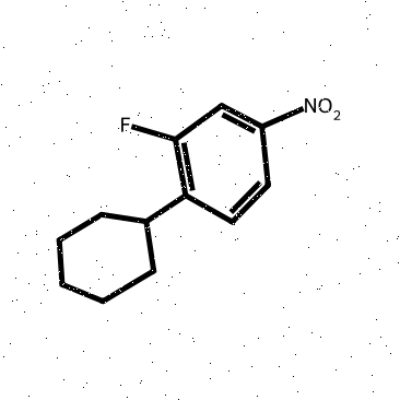 O=[N+]([O-])c1ccc(C2CCCCC2)c(F)c1